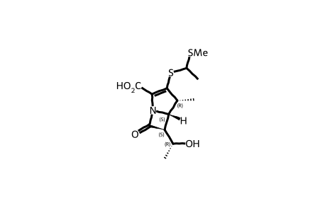 CSC(C)SC1=C(C(=O)O)N2C(=O)[C@H]([C@@H](C)O)[C@H]2[C@H]1C